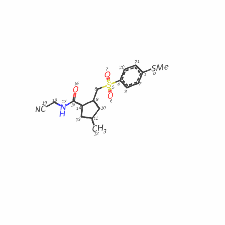 CSc1ccc(S(=O)(=O)CC2CC(C)CC2C(=O)NCC#N)cc1